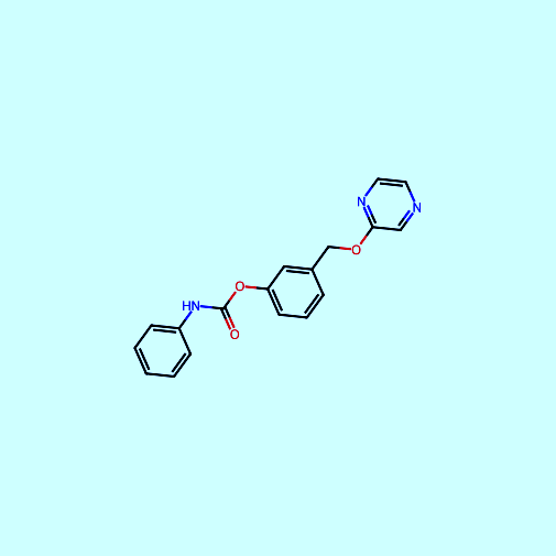 O=C(Nc1ccccc1)Oc1cccc(COc2cnccn2)c1